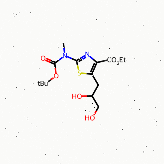 CCOC(=O)c1nc(N(C)C(=O)OC(C)(C)C)sc1CC(O)CO